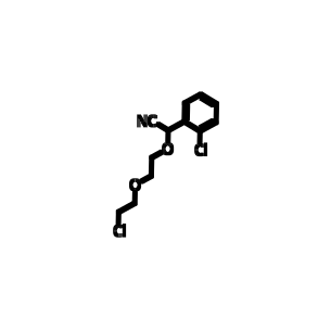 N#CC(OCCOCCCl)c1ccccc1Cl